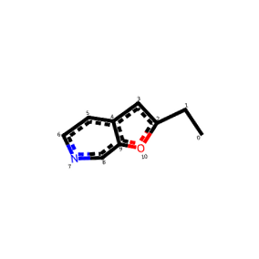 CCc1cc2ccncc2o1